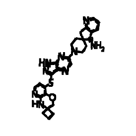 N[C@@H]1c2cccnc2CC12CCN(c1cnc3c(Sc4ccnc5c4OCC4(CCC4)N5)n[nH]c3n1)CC2